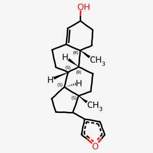 C[C@]12CCC(O)C=C1CC[C@@H]1[C@H]2CC[C@]2(C)C(c3ccoc3)CC[C@@H]12